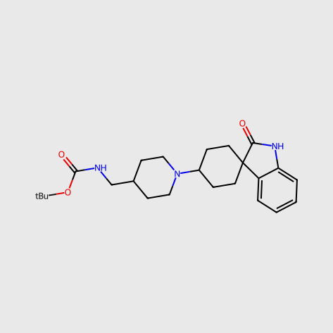 CC(C)(C)OC(=O)NCC1CCN(C2CCC3(CC2)C(=O)Nc2ccccc23)CC1